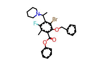 Cc1c(F)c(C(C)N2CCCCC2)c(Br)c(OCc2ccccc2)c1C(=O)Oc1ccccc1